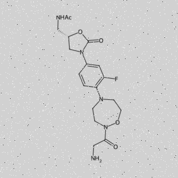 CC(=O)NC[C@H]1CN(c2ccc(N3CCON(C(=O)CN)CC3)c(F)c2)C(=O)O1